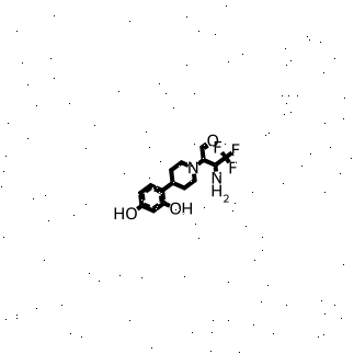 NC(C(C=O)N1CCC(c2ccc(O)cc2O)CC1)C(F)(F)F